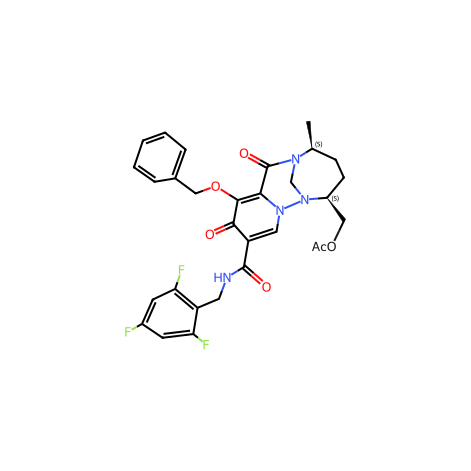 CC(=O)OC[C@@H]1CC[C@H](C)N2CN1n1cc(C(=O)NCc3c(F)cc(F)cc3F)c(=O)c(OCc3ccccc3)c1C2=O